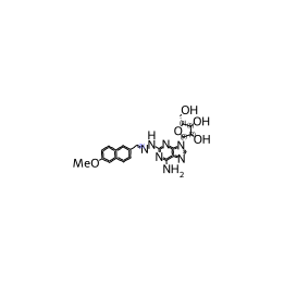 COc1ccc2cc(/C=N/Nc3nc(N)c4ncn([C@@H]5O[C@H](CO)[C@@H](O)[C@H]5O)c4n3)ccc2c1